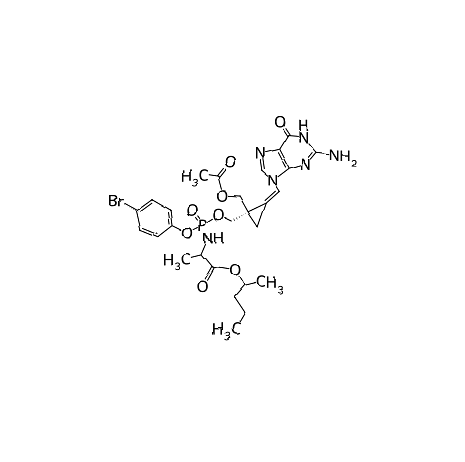 CCCC(C)OC(=O)C(C)N[P@](=O)(OC[C@@]1(COC(C)=O)C/C1=C/n1cnc2c(=O)[nH]c(N)nc21)Oc1ccc(Br)cc1